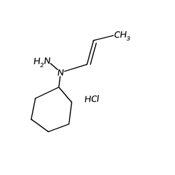 CC=CN(N)C1CCCCC1.Cl